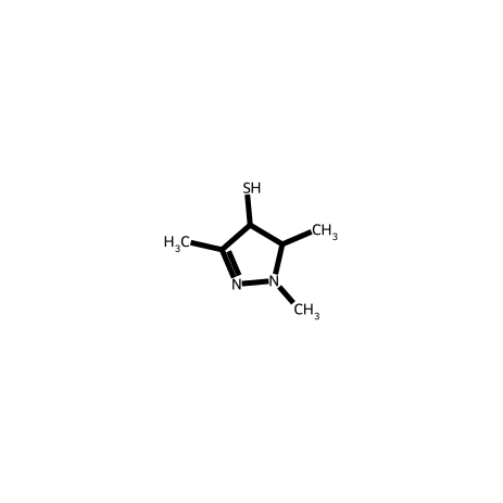 CC1=NN(C)C(C)C1S